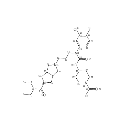 CCC(CC)C(=O)N1CC2CN(CCCN(C(=O)OC3CCN(C(C)=O)CC3)c3ccc(C)c(Cl)c3)CC2C1